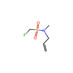 C=CCN(C)S(=O)(=O)CF